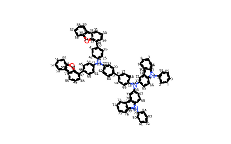 c1ccc(-n2c3ccccc3c3cc(N(c4ccc(-c5ccc(N(c6ccc(-c7cccc8c7oc7ccccc78)cc6)c6ccc(-c7cccc8c7oc7ccccc78)cc6)cc5)cc4)c4ccc5c(c4)c4ccccc4n5-c4ccccc4)ccc32)cc1